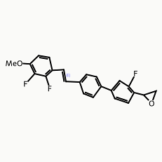 COc1ccc(/C=C/c2ccc(-c3ccc(C4CO4)c(F)c3)cc2)c(F)c1F